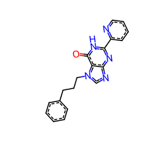 O=c1[nH]c(-c2ccccn2)nc2ncn(CCCc3ccccc3)c12